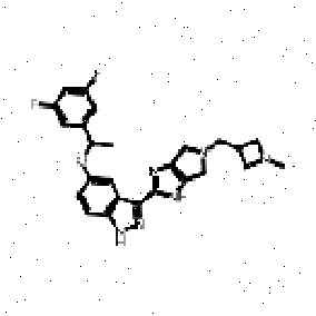 CC(Oc1ccc2[nH]nc(-c3nc4c([nH]3)CN(CC3CN(C)C3)C4)c2c1)c1cc(F)cc(F)c1